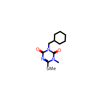 CSc1nc(=O)n(CC2CCCCC2)c(=O)n1C